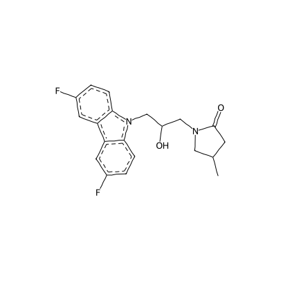 CC1CC(=O)N(CC(O)Cn2c3ccc(F)cc3c3cc(F)ccc32)C1